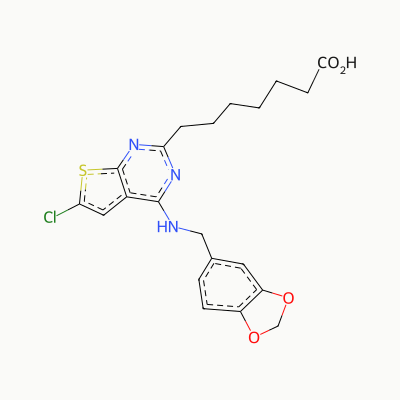 O=C(O)CCCCCCc1nc(NCc2ccc3c(c2)OCO3)c2cc(Cl)sc2n1